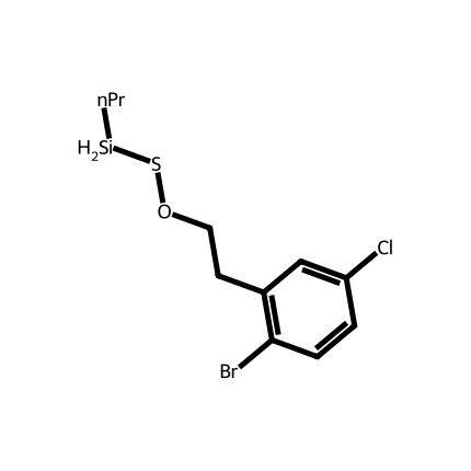 CCC[SiH2]SOCCc1cc(Cl)ccc1Br